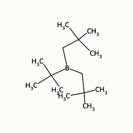 CC(C)(C)CB(CC(C)(C)C)C(C)(C)C